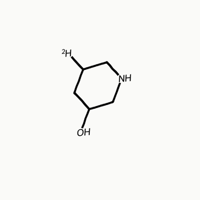 [2H]C1CNCC(O)C1